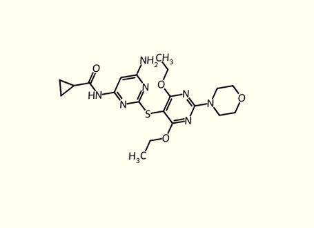 CCOc1nc(N2CCOCC2)nc(OCC)c1Sc1nc(N)cc(NC(=O)C2CC2)n1